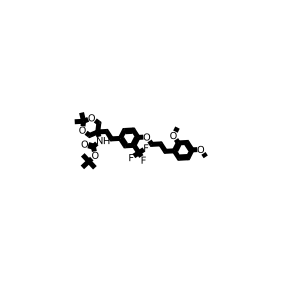 COc1ccc(CCCOc2ccc(CCC3(NC(=O)OC(C)(C)C)COC(C)(C)OC3)cc2C(F)(F)F)c(OC)c1